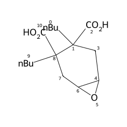 CCCCC1(C(=O)O)CC2OC2CC1(CCCC)C(=O)O